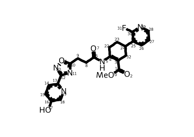 COC(=O)C1=C(NC(=O)CCc2nc(-c3ccc(O)cn3)no2)CCC(c2cccnc2F)C1